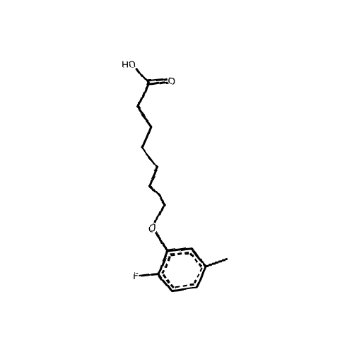 Cc1ccc(F)c(OCCCCCCC(=O)O)c1